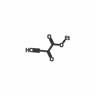 C#CC(=O)C(=O)OCC